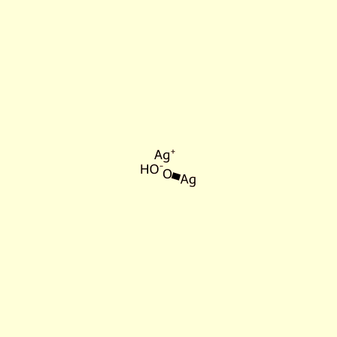 [Ag+].[OH-].[O]=[Ag]